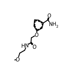 COCCNC(=O)COc1cccc(C(N)=O)c1